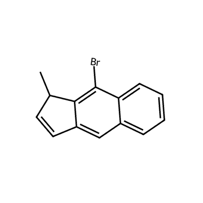 CC1C=Cc2cc3ccccc3c(Br)c21